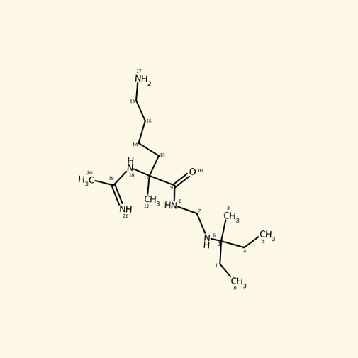 CCC(C)(CC)NCNC(=O)C(C)(CCCCN)NC(C)=N